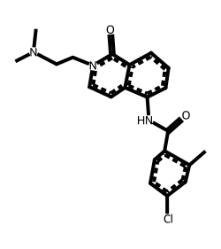 Cc1cc(Cl)ccc1C(=O)Nc1cccc2c(=O)n(CCN(C)C)ccc12